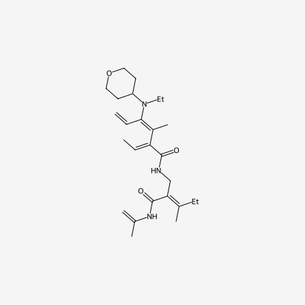 C=C/C(=C(C)\C(=C/C)C(=O)NC/C(C(=O)NC(=C)C)=C(/C)CC)N(CC)C1CCOCC1